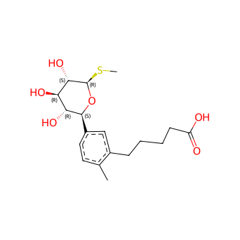 CS[C@H]1O[C@@H](c2ccc(C)c(CCCCC(=O)O)c2)[C@H](O)[C@@H](O)[C@@H]1O